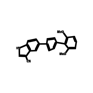 COc1cccc(OC)c1-c1ccc(-c2ccc3[nH]cc(C#N)c3c2)cc1